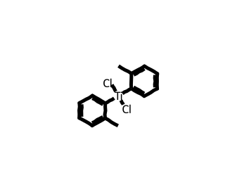 Cc1cccc[c]1[Ti]([Cl])([Cl])[c]1ccccc1C